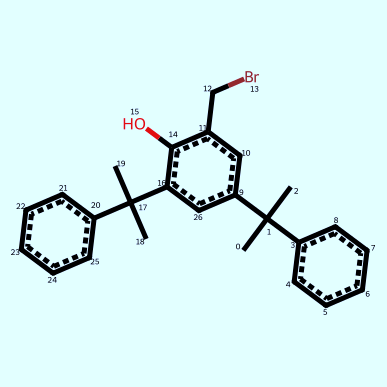 CC(C)(c1ccccc1)c1cc(CBr)c(O)c(C(C)(C)c2ccccc2)c1